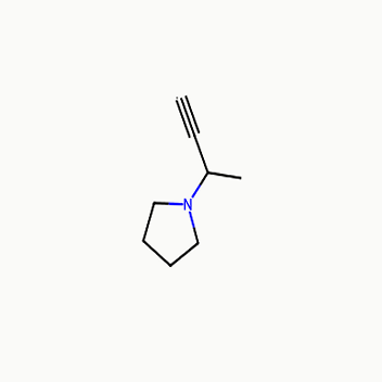 [C]#CC(C)N1CCCC1